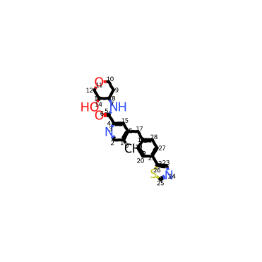 Cc1cnc(C(=O)NC2CCOCC2O)cc1Cc1ccc(-c2cncs2)cc1